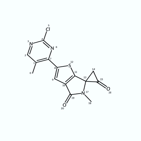 Cc1cnc(Cl)nc1-c1cc2c(s1)C1(CC1=O)N(C)C2=O